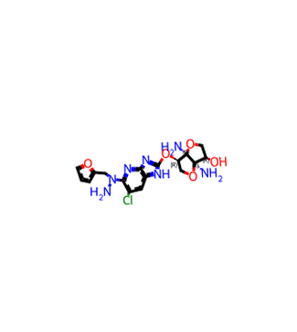 NN(Cc1ccco1)c1nc2nc(O[C@@H]3CO[C@]4(N)[C@H](O)CO[C@]34N)[nH]c2cc1Cl